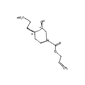 C=CCOC(=O)N1CC[C@@H](CCC(=O)O)[C@@H](O)C1